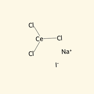 [Cl][Ce]([Cl])[Cl].[I-].[Na+]